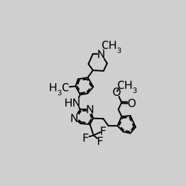 COC(=O)Cc1ccccc1CCc1nc(Nc2ccc(C3CCN(C)CC3)cc2C)ncc1C(F)(F)F